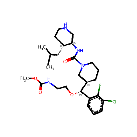 COC(=O)NCCO[C@@H](c1cccc(Cl)c1F)[C@@H]1CCCN(C(=O)N[C@@H]2CNCC[C@H]2CC(C)C)C1